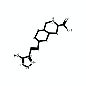 O=C(O)C1CC2CC(/C=C/c3nsnc3O)CCC2CN1